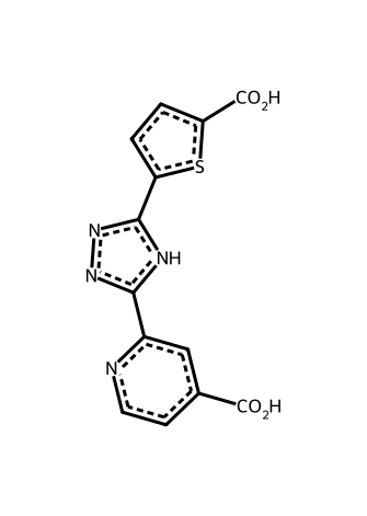 O=C(O)c1ccnc(-c2nnc(-c3ccc(C(=O)O)s3)[nH]2)c1